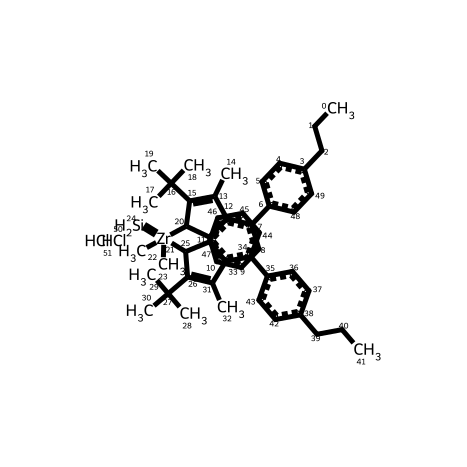 CCCc1ccc(-c2cccc3c2C(C)=C(C(C)(C)C)[CH]3[Zr]([CH3])([CH3])(=[SiH2])[CH]2C(C(C)(C)C)=C(C)c3c(-c4ccc(CCC)cc4)cccc32)cc1.Cl.Cl